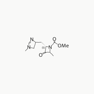 COC(=O)N1C(C)C(=O)[C@@H]1CC1CN(C)C=N1